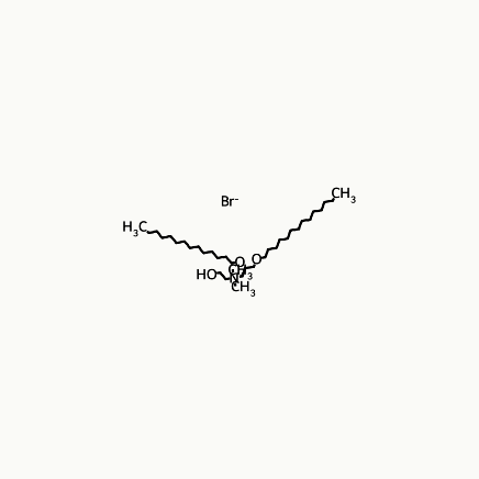 CCCCCCCCCCCCCCOCC(C[N+](C)(C)CCO)OCCCCCCCCCCCCCC.[Br-]